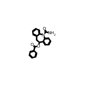 NC(=O)N1c2ccccc2CC(OC(=O)c2ccccc2)c2ccccc21